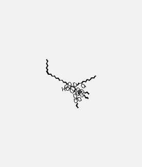 C=CCOC(=O)OC[C@H]1OC(O)[C@H](OC(=O)CCCCCCCCC/C=C\CCCCCC)[C@@H](OCC[C@@H](CCCCCCC)OC)[C@@H]1OP(=O)(OCC=C)OCC=C